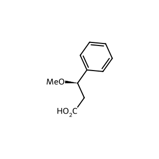 CO[C@H](CC(=O)O)c1ccccc1